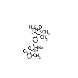 Cc1cccc(Cl)c1C(=O)NC(Cc1ccc(-c2c(C)n(C)c(=O)n(C)c2=O)cc1)C(C)(C)C